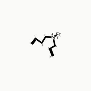 C=CCCN(CC)CC=C